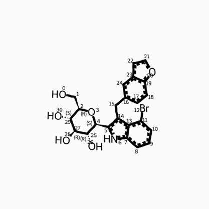 OC[C@H]1O[C@@H](c2[nH]c3cccc(Br)c3c2Cc2ccc3occc3c2)[C@H](O)[C@@H](O)[C@@H]1O